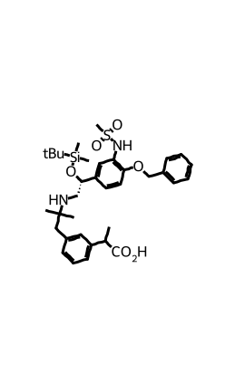 CC(C(=O)O)c1cccc(CC(C)(C)NC[C@H](O[Si](C)(C)C(C)(C)C)c2ccc(OCc3ccccc3)c(NS(C)(=O)=O)c2)c1